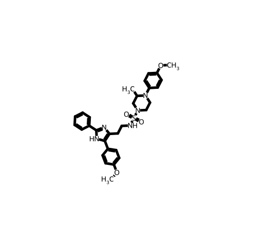 COc1ccc(-c2[nH]c(-c3ccccc3)nc2CCNS(=O)(=O)N2CCN(c3ccc(OC)cc3)C(C)C2)cc1